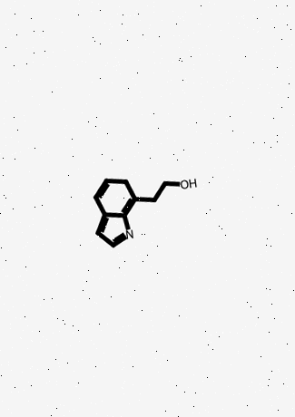 OCCC1=C2N=CC=C2C=CC1